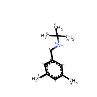 Cc1cc(C)cc(CNC(C)(C)C)c1